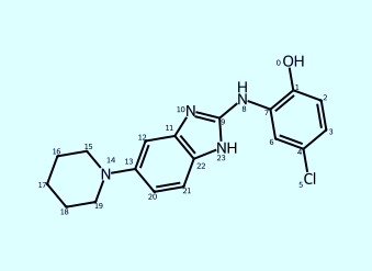 Oc1ccc(Cl)cc1Nc1nc2cc(N3CCCCC3)ccc2[nH]1